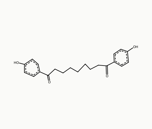 O=C(CCCCCCCC(=O)c1ccc(O)cc1)c1ccc(O)cc1